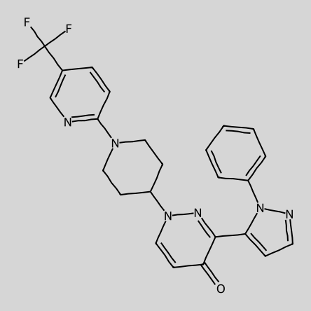 O=c1ccn(C2CCN(c3ccc(C(F)(F)F)cn3)CC2)nc1-c1ccnn1-c1ccccc1